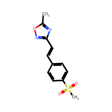 CS(=O)(=O)c1ccc(/C=C/c2noc(C(Cl)(Cl)Cl)n2)cc1